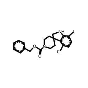 O=C(OCc1ccccc1)N1CCC2(CC1)CNc1c(I)ccc(Cl)c12